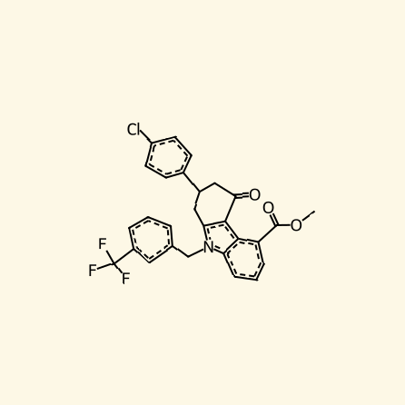 COC(=O)c1cccc2c1c1c(n2Cc2cccc(C(F)(F)F)c2)CC(c2ccc(Cl)cc2)CC1=O